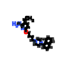 C=Cc1ccc(OCCCCN2CCN(c3cccc4ccccc34)CC2)nc1N